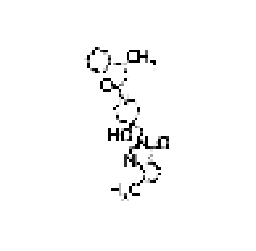 Cc1ccc2c(=O)n(CC3(O)CCN(C(=O)CC(C)c4ccccc4)CC3)cnn12